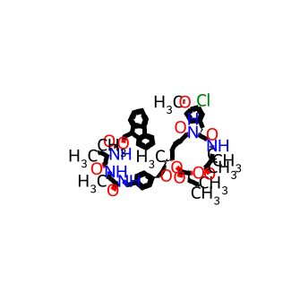 COc1ccc(C[C@H]2NC(=O)/C=C/C[C@@H](C(C)[C@@H]3O[C@@H]3c3ccc(CNC(=O)[C@H](C)NC(=O)[C@@H](NC(=O)OCC4c5ccccc5-c5ccccc54)C(C)C)cc3)OC(=O)[C@H](CC(C)C)OC(=O)C(C)(C)CNC2=O)cc1Cl